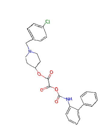 O=C(Nc1ccccc1-c1ccccc1)OC(=O)C(=O)OC1CCN(Cc2ccc(Cl)cc2)CC1